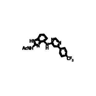 CC(=O)Nc1nc2c(Nc3cc(-c4ccc(C(F)(F)F)cc4)ncn3)cccc2[nH]1